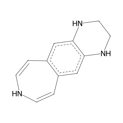 C1=Cc2cc3c(cc2C=CN1)NCCN3